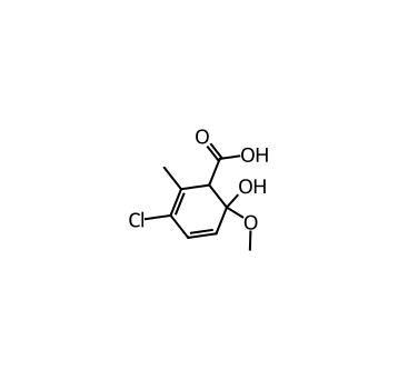 COC1(O)C=CC(Cl)=C(C)C1C(=O)O